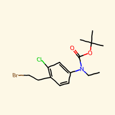 CCN(C(=O)OC(C)(C)C)c1ccc(CCBr)c(Cl)c1